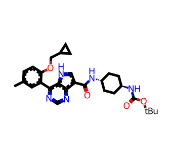 Cc1ccc(OCC2CC2)c(-c2ncnc3c(C(=O)N[C@H]4CC[C@H](NC(=O)OC(C)(C)C)CC4)c[nH]c23)c1